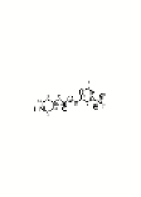 CC(C)O[C@@H](CNS(C)(=O)=O)COC(=O)CC1CCNCC1